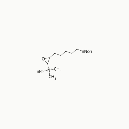 CCCCCCCCCCCCCCC1OC1[N+](C)(C)CCC